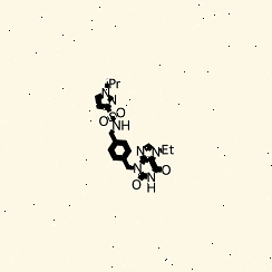 CCn1cnc2c1c(=O)[nH]c(=O)n2Cc1ccc(CNS(=O)(=O)c2ccn(C(C)C)n2)cc1